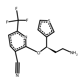 N#Cc1ccc(C(F)(F)F)nc1O[C@H](CCN)c1ccsc1